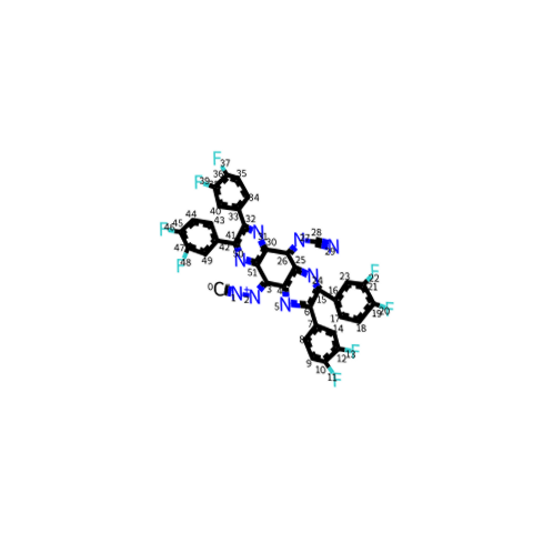 [C-]#[N+]N=C1c2nc(-c3ccc(F)c(F)c3)c(-c3ccc(F)c(F)c3)nc2C(=NC#N)c2nc(-c3ccc(F)c(F)c3)c(-c3ccc(F)c(F)c3)nc21